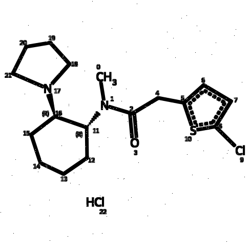 CN(C(=O)Cc1ccc(Cl)s1)[C@@H]1CCCC[C@H]1N1CCCC1.Cl